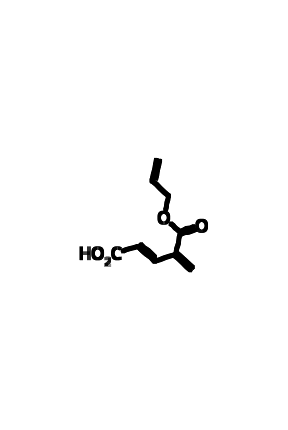 C=CCOC(=O)C(=C)C=CC(=O)O